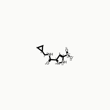 O=C(NCC1CC1)c1cc([N+](=O)[O-])[nH]n1